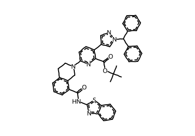 CC(C)(C)OC(=O)c1nc(N2CCc3cccc(C(=O)Nc4nc5ccccc5s4)c3C2)ccc1-c1cnn(C(c2ccccc2)c2ccccc2)c1